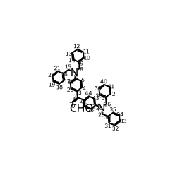 O=CC=C(c1ccc(N(Cc2ccccc2)Cc2ccccc2)cc1)c1ccc(N(Cc2ccccc2)Cc2ccccc2)cc1